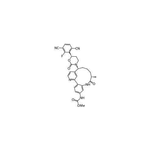 COC(=O)Nc1ccc2c(c1)NC(=O)[C@H](C)CCC[C@H](N1CC[C@H](c3c(C#N)ccc(C#N)c3F)OC1=O)c1ccnc-2c1